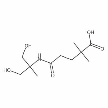 CC(CO)(CO)NC(=O)CCC(C)(C)C(=O)O